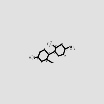 CC1CC(N)CCC1C1CCC(N)CC1C(F)(F)F